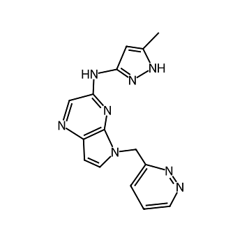 Cc1cc(Nc2cnc3ccn(Cc4cccnn4)c3n2)n[nH]1